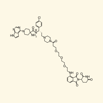 NC1(C(=O)N[C@@H](CCN2CCN(C(=O)CCOCCOCCOCCNc3cccc4c3C(=O)N(C3CCC(=O)NC3=O)C4=O)CC2)c2ccc(Cl)cc2)CCN(c2ncnc3[nH]ccc23)CC1